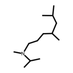 CC(C)CC(C)CCCN(C)C(C)C